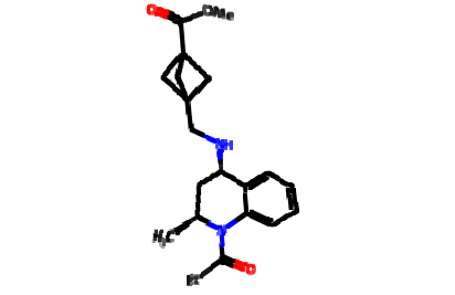 CCC(=O)N1c2ccccc2[C@H](NCC23CC(C(=O)OC)(C2)C3)C[C@@H]1C